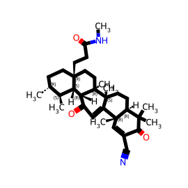 CNC(=O)CC[C@]12CC[C@@H](C)[C@H](C)[C@H]1[C@H]1C(=O)C=C3[C@@]4(C)C=C(C#N)C(=O)C(C)(C)[C@@H]4CC[C@@]3(C)[C@]1(C)CC2